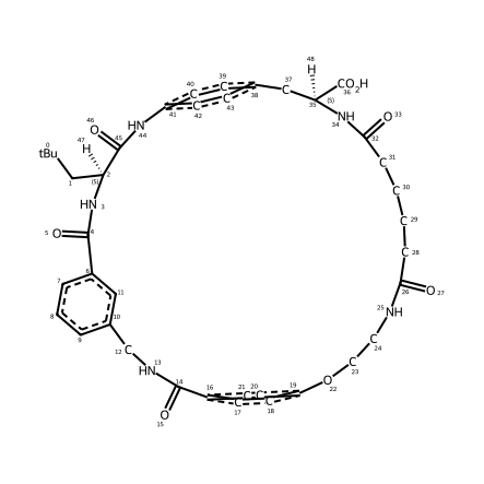 CC(C)(C)C[C@@H]1NC(=O)c2cccc(c2)CNC(=O)c2ccc(cc2)OCCNC(=O)CCCCC(=O)N[C@H](C(=O)O)Cc2ccc(cc2)NC1=O